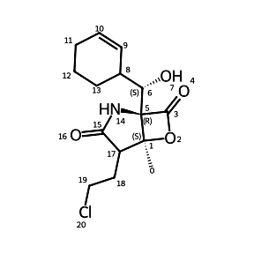 C[C@@]12OC(=O)[C@]1([C@@H](O)C1C=CCCC1)NC(=O)C2CCCl